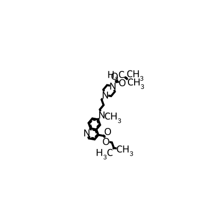 CC(C)COC(=O)c1ccnc2ccc(N(C)CCCN3CCN(C(=O)OC(C)(C)C)CC3)cc12